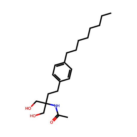 CCCCCCCCc1ccc(CCC(CO)(CO)NC(C)=O)cc1